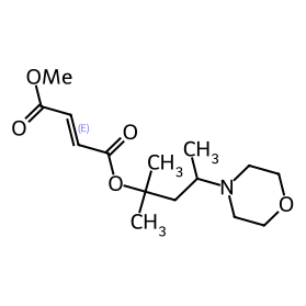 COC(=O)/C=C/C(=O)OC(C)(C)CC(C)N1CCOCC1